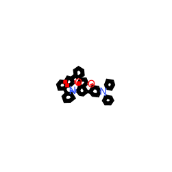 c1ccc(-c2ccccc2N(c2ccc3c4c(cccc24)Oc2cc(N(c4ccccc4)c4ccccc4)ccc2-3)c2cccc3c2oc2ccccc23)cc1